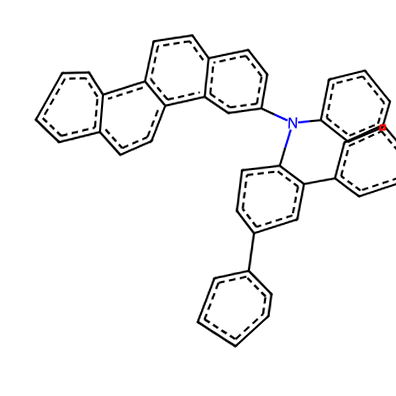 c1ccc(-c2ccc(N(c3ccccc3)c3ccc4ccc5c6ccccc6ccc5c4c3)c(-c3ccccc3)c2)cc1